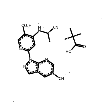 CC(C)(C)C(=O)O.C[C@H](C#N)Nc1cc(-n2ncc3cc(C#N)cnc32)ncc1C(=O)O